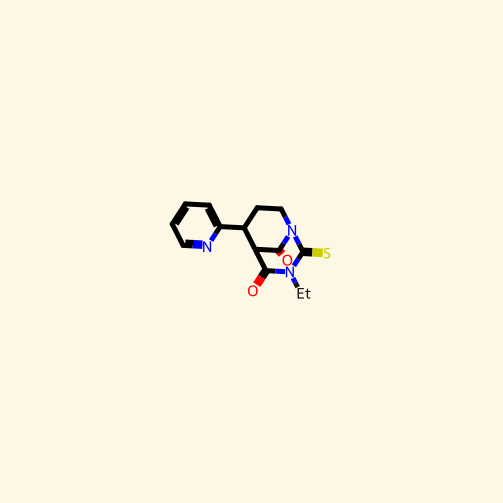 CCN1C(=O)C2C(=O)N(CCC2c2ccccn2)C1=S